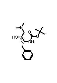 CN(C)C[C@H](O)[C@@H](Cc1ccccc1)NC(=O)OC(C)(C)C